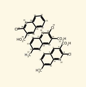 Cc1ccc2cc(C(=O)O)c(Cl)nc2c1.Cc1ccc2nc(Cl)c(C(=O)O)cc2c1.O=C(O)c1cc2ccccc2nc1Cl